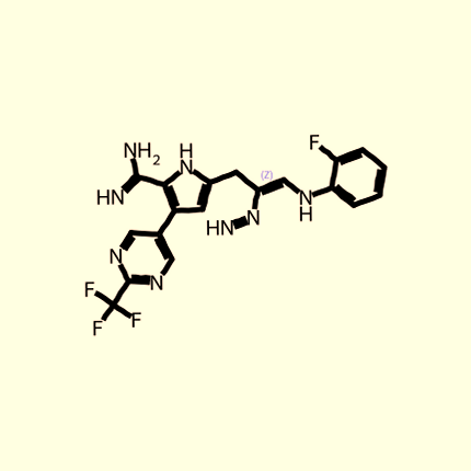 N=N/C(=C\Nc1ccccc1F)Cc1cc(-c2cnc(C(F)(F)F)nc2)c(C(=N)N)[nH]1